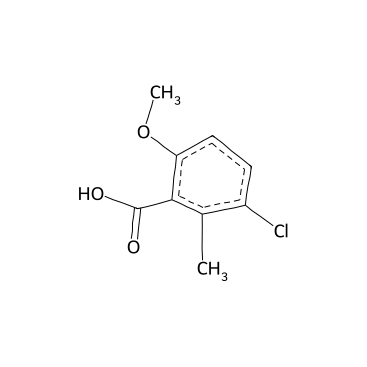 COc1ccc(Cl)c(C)c1C(=O)O